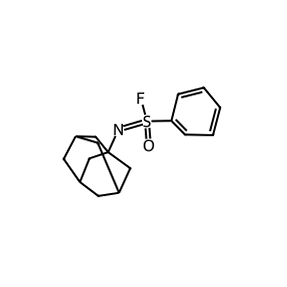 O=S(F)(=NC12CC3CC(CC(C3)C1)C2)c1ccccc1